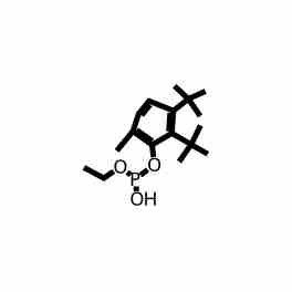 CCOP(O)Oc1c(C)ccc(C(C)(C)C)c1C(C)(C)C